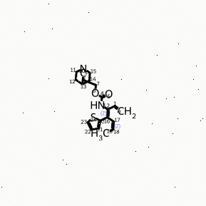 C=C/C(NC(=O)OCC1CN2CCC1CC2)=C(\C=C/C)c1cccs1